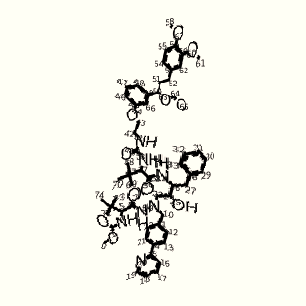 COC(=O)NC(C(=O)NN(Cc1ccc(-c2ccccn2)cc1)CC(O)C(Cc1ccccc1)NC(=O)C(NC(=O)NCCOc1cccc([C@@H](CCc2ccc(OC)c(OC)c2)OC=O)c1)C(C)(C)C)C(C)(C)C